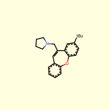 CC(C)(C)c1ccc2c(c1)C(CN1CCCC1)=Cc1ccccc1O2